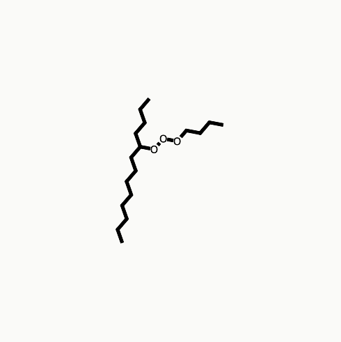 CCCCCCCCC(CCCC)OOOCCCC